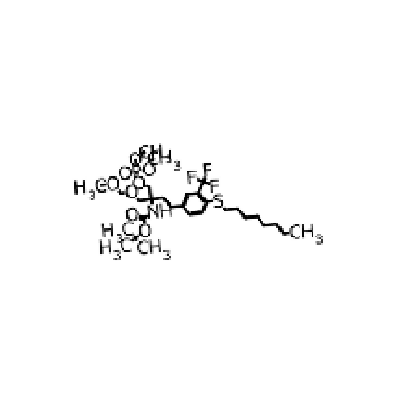 CCCCCCCCSc1ccc(CCC(COCOC)(COP(=O)(OC)OC)NC(=O)OC(C)(C)C)cc1C(F)(F)F